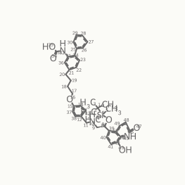 CC(C)(C)[Si](C)(C)O[C@H](CNCc1ccc(OCCCCc2ccc(-c3ccccc3)c(NC(=O)O)c2)cc1)c1ccc(O)c2[nH]c(=O)ccc12